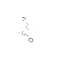 CCCCCc1ccc(NC(=O)C2=C[C@@H]3OC(C)(C)O[C@@H]3[C@@H](O[C@@H](C(N)=O)[C@H]3O[C@@H](n4ccc(=O)[nH]c4=O)[C@H](O)[C@@H]3OC)O2)cc1